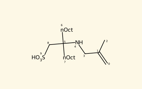 C=C(C)CNC(CCCCCCCC)(CCCCCCCC)CS(=O)(=O)O